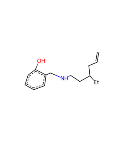 C=CCC(CC)CCNCc1ccccc1O